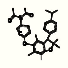 CC(=O)N(C(C)=O)c1ccc(Oc2c(C)c(C)c3c(c2C)C(c2ccc(C(C)C)cc2)C(C)(C)O3)cc1